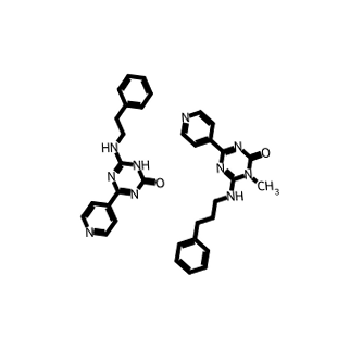 Cn1c(NCCCc2ccccc2)nc(-c2ccncc2)nc1=O.O=c1nc(-c2ccncc2)nc(NCCc2ccccc2)[nH]1